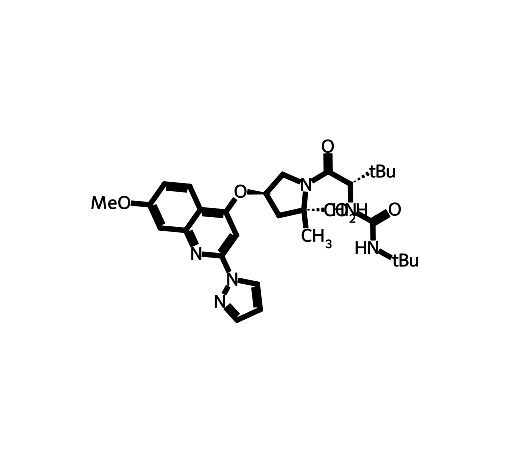 COc1ccc2c(O[C@H]3CN(C(=O)[C@@H](NC(=O)NC(C)(C)C)C(C)(C)C)[C@](C)(C(=O)O)C3)cc(-n3cccn3)nc2c1